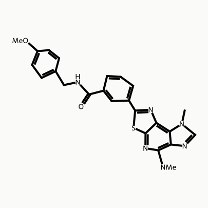 CNc1nc2sc(-c3cccc(C(=O)NCc4ccc(OC)cc4)c3)nc2c2c1ncn2C